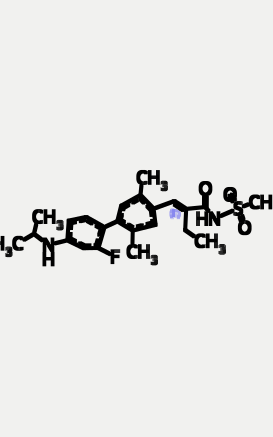 CC/C(=C\c1cc(C)c(-c2ccc(NC(C)C)cc2F)cc1C)C(=O)NS(C)(=O)=O